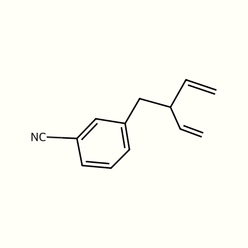 C=CC(C=C)Cc1cccc(C#N)c1